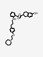 Oc1ccc2c(c1)CCC(C1=COC(c3ccccc3NCCCc3ccc(OCCN4CCCCCC4)cc3)O1)C2